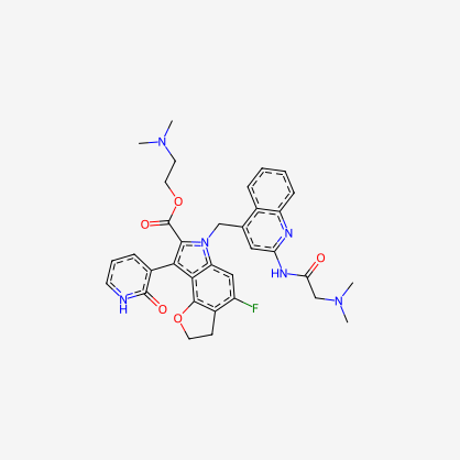 CN(C)CCOC(=O)c1c(-c2ccc[nH]c2=O)c2c3c(c(F)cc2n1Cc1cc(NC(=O)CN(C)C)nc2ccccc12)CCO3